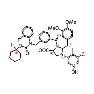 COc1ccc([C@H](Cc2c(Cl)c[n+](O)cc2Cl)C2SC[C@@H](C(=O)[O-])N2C(=O)c2cccc(CN(C(=O)O[C@H]3CN4CCC3CC4)c3ccccc3F)c2)cc1OC